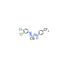 N#CC(N=Nc1ccc(Cl)c(Cl)c1)=NNc1ccc(C(F)(F)F)cc1